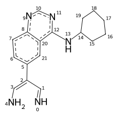 N=C/C(=C\N)c1ccc2ncnc(NC3CCCCC3)c2c1